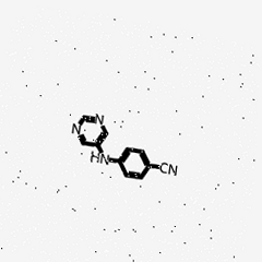 N#Cc1ccc(Nc2cncnc2)cc1